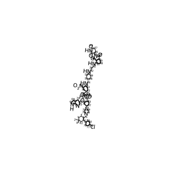 CC1(C)CCC(CN2CCN(c3ccc(C(=O)NS(=O)(=O)c4ccc(NC[C@H]5CC[C@H](NCCCNc6cccc7c6C(=O)N(C6CCC(=O)NC6=O)C7=O)CC5)c([N+](=O)[O-])c4)c(Oc4cnc5[nH]ccc5c4)c3)CC2)=C(c2ccc(Cl)cc2)C1